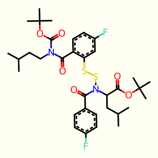 CC(C)CCN(C(=O)OC(C)(C)C)C(=O)c1ccc(F)cc1SSN(C(=O)c1ccc(F)cc1)C(CC(C)C)C(=O)OC(C)(C)C